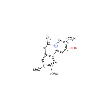 COc1cc2c(cc1OC)-c1cc(=O)c(C(=O)O)cn1C(C(F)(F)F)C2